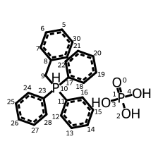 O=P(O)(O)O.c1ccc(C[PH](c2ccccc2)(c2ccccc2)c2ccccc2)cc1